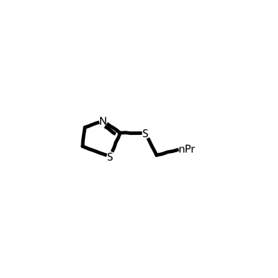 [CH2]CCCSC1=NCCS1